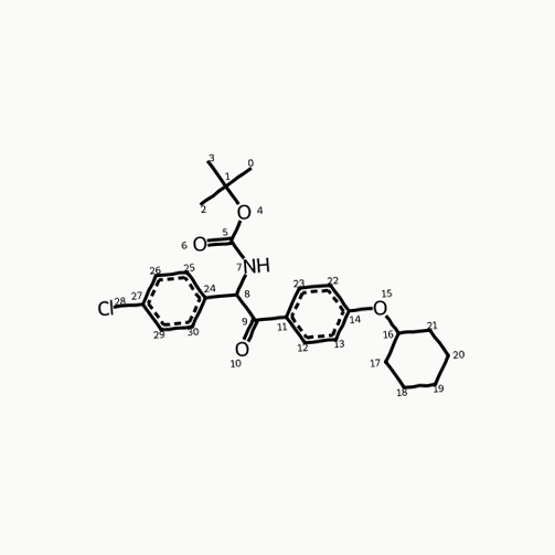 CC(C)(C)OC(=O)NC(C(=O)c1ccc(OC2CCCCC2)cc1)c1ccc(Cl)cc1